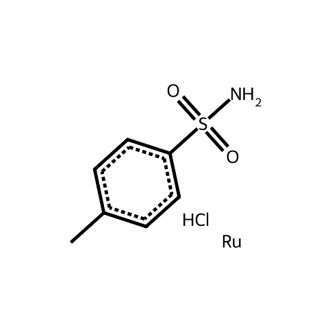 Cc1ccc(S(N)(=O)=O)cc1.Cl.[Ru]